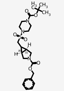 CC(C)(C)OC(=O)N1CCN(S(=O)(=O)CC2[C@H]3CN(C(=O)OCc4ccccc4)C[C@@H]23)CC1